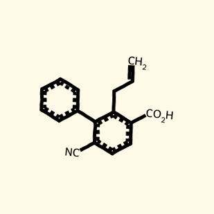 C=CCc1c(C(=O)O)ccc(C#N)c1-c1ccccc1